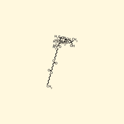 C=C(C)C(=O)O.C=C(C)C(=O)O.C=C(C)C(=O)O.CCC(CO)(CO)CO.CCCCCCCCOC(=O)CCCCC(=O)OCCCCCCCC